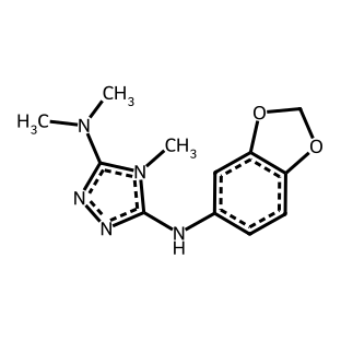 CN(C)c1nnc(Nc2ccc3c(c2)OCO3)n1C